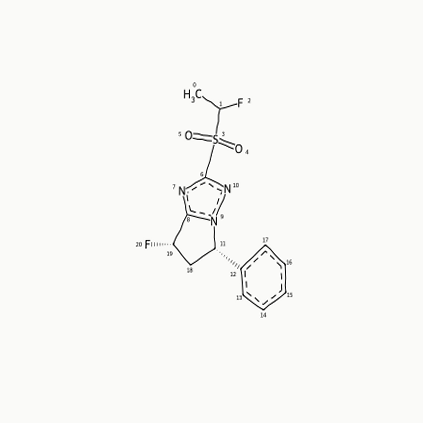 CC(F)S(=O)(=O)c1nc2n(n1)[C@H](c1ccccc1)C[C@@H]2F